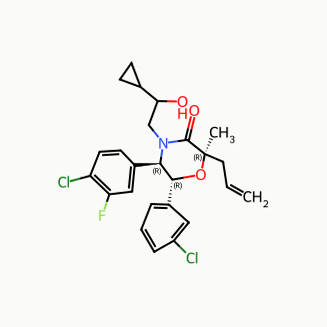 C=CC[C@@]1(C)O[C@H](c2cccc(Cl)c2)[C@@H](c2ccc(Cl)c(F)c2)N(CC(O)C2CC2)C1=O